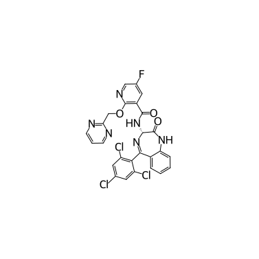 O=C(N[C@H]1N=C(c2c(Cl)cc(Cl)cc2Cl)c2ccccc2NC1=O)c1cc(F)cnc1OCc1ncccn1